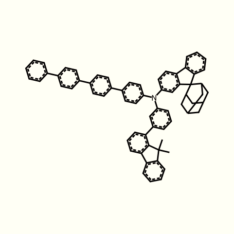 CC1(C)c2ccccc2-c2cccc(-c3cccc(N(c4ccc(-c5ccc(-c6ccc(-c7ccccc7)cc6)cc5)cc4)c4ccc5c(c4)C4(c6ccccc6-5)C5CC6CC(C5)CC4C6)c3)c21